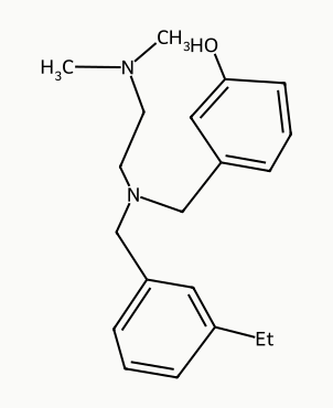 CCc1cccc(CN(CCN(C)C)Cc2cccc(O)c2)c1